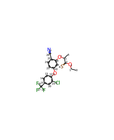 CCOC(=S)C(C)Oc1cc(Oc2ccc(C(F)(F)F)cc2Cl)ccc1C#N